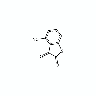 N#Cc1cccc2c1C(=O)C(=O)S2